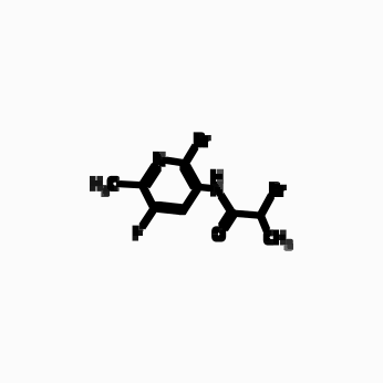 Cc1nc(Br)c(NC(=O)C(C)Br)cc1F